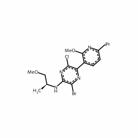 COC[C@H](C)Nc1nc(Cl)c(-c2ccc(C(C)C)nc2OC)nc1Br